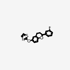 Fc1cccc(C2CCc3cc(Oc4nccs4)ccc3O2)c1